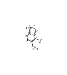 Cc1ncc2[nH]ccc2c1Br